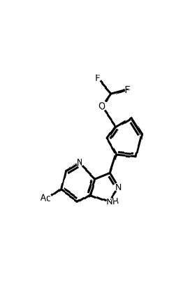 CC(=O)c1cnc2c(-c3cccc(OC(F)F)c3)n[nH]c2c1